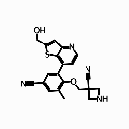 Cc1cc(C#N)cc(-c2ccnc3cc(CO)sc23)c1OCC1(C#N)CNC1